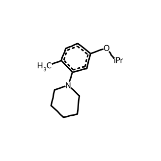 Cc1ccc(OC(C)C)cc1N1CCCCC1